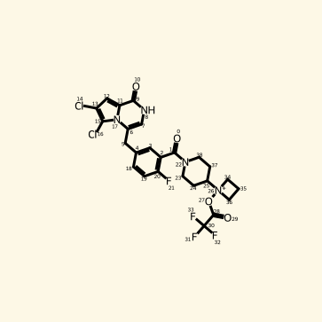 O=C(c1cc(Cc2c[nH]c(=O)c3cc(Cl)c(Cl)n23)ccc1F)N1CCC([N+]2(OC(=O)C(F)(F)F)CCC2)CC1